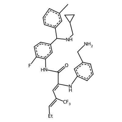 CC/C=C(/C=C(\Nc1cccc(CN)c1)C(=O)Nc1cc(C(NCC2CC2)c2cccc(C)c2)ccc1F)C(F)(F)F